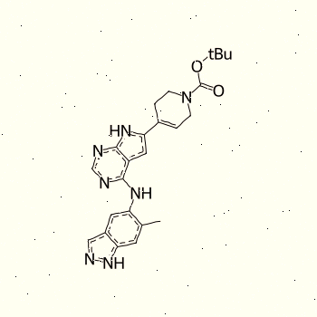 Cc1cc2[nH]ncc2cc1Nc1ncnc2[nH]c(C3=CCN(C(=O)OC(C)(C)C)CC3)cc12